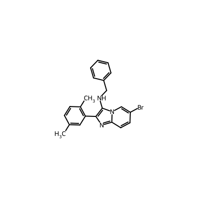 Cc1ccc(C)c(-c2nc3ccc(Br)cn3c2NCc2ccccc2)c1